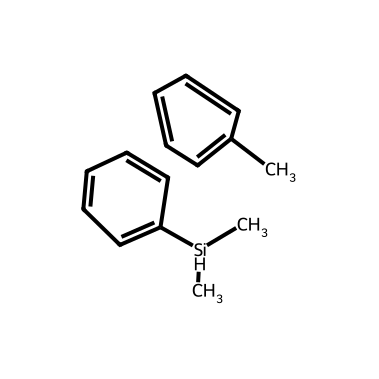 C[SiH](C)c1ccccc1.Cc1ccccc1